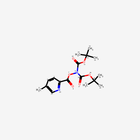 Cc1ccc(C(=O)ON(C(=O)OC(C)(C)C)C(=O)OC(C)(C)C)nc1